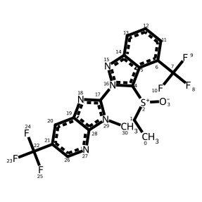 CC[S+]([O-])c1c2c(C(F)(F)F)cccc2nn1-c1nc2cc(C(F)(F)F)cnc2n1C